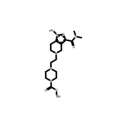 CCCn1nc(C(=O)N(C)C)c2c1CCN(CCN1CCN(C(=O)OC(C)(C)C)CC1)C2